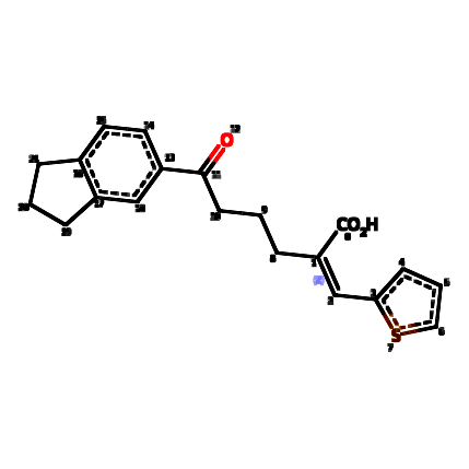 O=C(O)/C(=C\c1cccs1)CCCC(=O)c1ccc2c(c1)CCC2